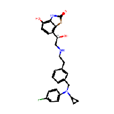 O=c1[nH]c2c(O)ccc([C@@H](O)CNCCc3cccc(CN(c4ccc(F)cc4)C4CC4)c3)c2s1